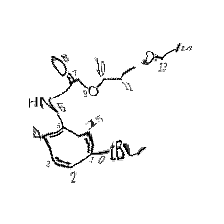 CC(C)(C)c1cccc(NC(=O)OCCOCI)c1